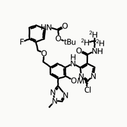 [2H]C([2H])([2H])NC(=O)c1cnc(Cl)nc1Nc1cc(COCc2cc(NC(=O)OC(C)(C)C)ccc2F)cc(-c2ncn(C)n2)c1OC